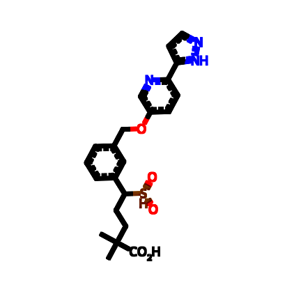 CC(C)(CCC(c1cccc(COc2ccc(-c3ccn[nH]3)nc2)c1)[SH](=O)=O)C(=O)O